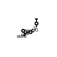 CC(C)(C)OC(=O)Nc1ccccc1NC(=O)c1ccc2c(c1)CN(C(=O)OCc1ccc(C3CC3)cc1)C2